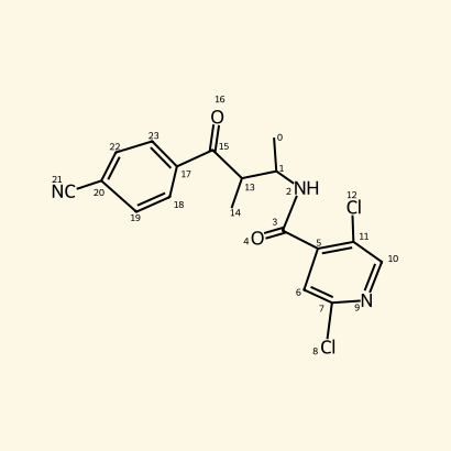 CC(NC(=O)c1cc(Cl)ncc1Cl)C(C)C(=O)c1ccc(C#N)cc1